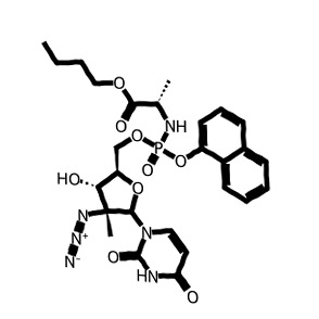 CCCCOC(=O)[C@H](C)NP(=O)(OC[C@H]1OC(n2ccc(=O)[nH]c2=O)[C@](C)(N=[N+]=[N-])[C@@H]1O)Oc1cccc2ccccc12